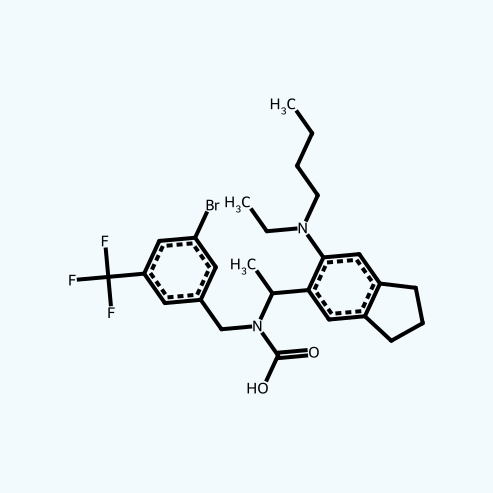 CCCCN(CC)c1cc2c(cc1C(C)N(Cc1cc(Br)cc(C(F)(F)F)c1)C(=O)O)CCC2